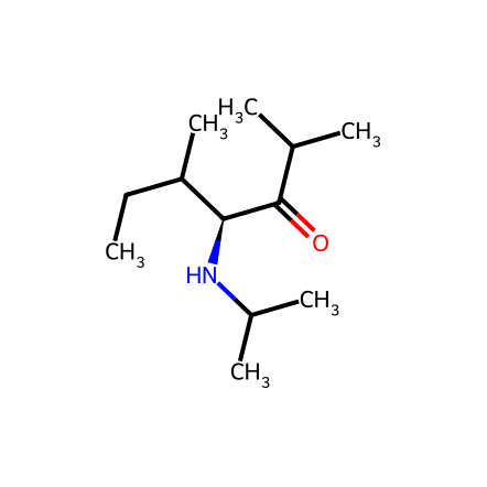 CCC(C)[C@H](NC(C)C)C(=O)C(C)C